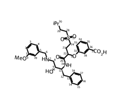 COc1cccc(CNC[C@@H](O)[C@H](Cc2ccccc2)NC(=O)C(CCS(=O)(=O)CCC(C)C)Oc2cccc(C(=O)O)c2)c1